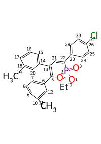 CCOP1(=O)OC(c2cccc(C)c2)=C(c2cccc(C)c2)C=C1c1ccc(Cl)cc1